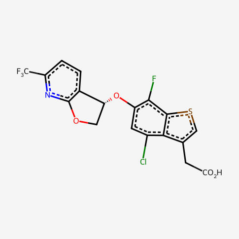 O=C(O)Cc1csc2c(F)c(O[C@@H]3COc4nc(C(F)(F)F)ccc43)cc(Cl)c12